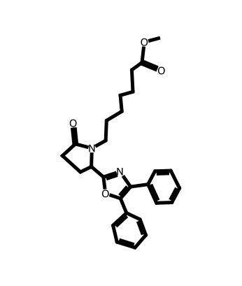 COC(=O)CCCCCCN1C(=O)CCC1c1nc(-c2ccccc2)c(-c2ccccc2)o1